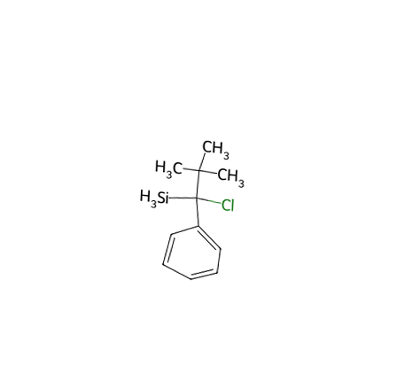 CC(C)(C)C([SiH3])(Cl)c1ccccc1